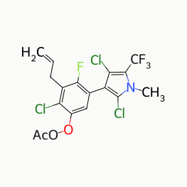 C=CCc1c(F)c(-c2c(Cl)c(C(F)(F)F)n(C)c2Cl)cc(OOC(C)=O)c1Cl